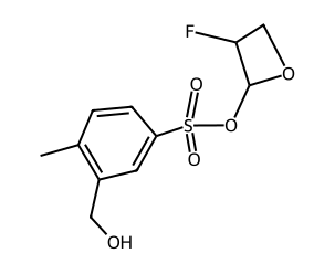 Cc1ccc(S(=O)(=O)OC2OCC2F)cc1CO